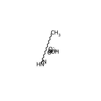 CCCCCCCCCCCCCCCCc1c[nH]cn1.[O-][Br+2]([O-])O